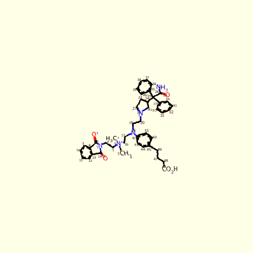 C[N+](C)(CCN1C(=O)c2ccccc2C1=O)CCN(CCN1CCC(C(C(N)=O)(c2ccccc2)c2ccccc2)C1)c1ccc(CCCC(=O)O)cc1